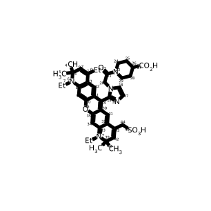 CCC1=CC(C)(C)N(CC)c2cc3c(cc21)C(c1nccn1CC(=O)N1CCC(C(=O)O)CC1)=c1cc2c(cc1O3)=[N+](CC)C(C)(C)C=C2CS(=O)(=O)O